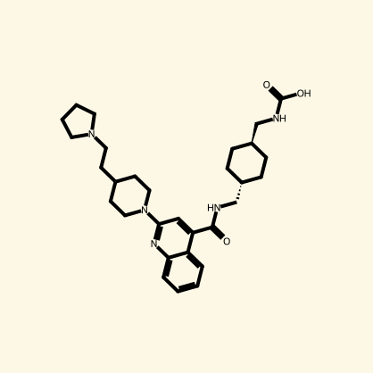 O=C(O)NC[C@H]1CC[C@H](CNC(=O)c2cc(N3CCC(CCN4CCCC4)CC3)nc3ccccc23)CC1